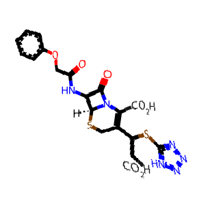 O=C(O)CC(Sc1nnn[nH]1)C1=C(C(=O)O)N2C(=O)C(NC(=O)COc3ccccc3)[C@@H]2SC1